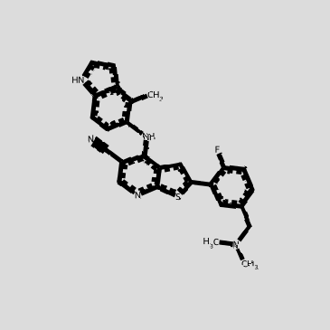 Cc1c(Nc2c(C#N)cnc3sc(-c4cc(CN(C)C)ccc4F)cc23)ccc2[nH]ccc12